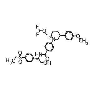 CCS(=O)(=O)c1ccc([C@H](CO)NC(=O)c2ccc(N3CC(c4ccc(OC)cc4)CC[C@H]3COC(F)F)cc2)cc1